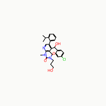 CC(C)c1ccccc1-c1cnc2c(c1C(O)c1ccc(Cl)cc1)c(=O)n(CCCO)c(=O)n2C